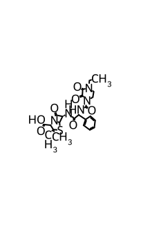 CCN1CCN(C(=O)N[C@@H](C(=O)N[C@@H]2C(=O)N3C2SC(C)(C)C3C(=O)O)c2ccccc2)C(=O)C1=O